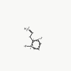 C=CCc1cccc[n+]1F.[I-]